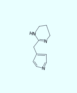 c1cc(CC2=NCCCN2)ccn1